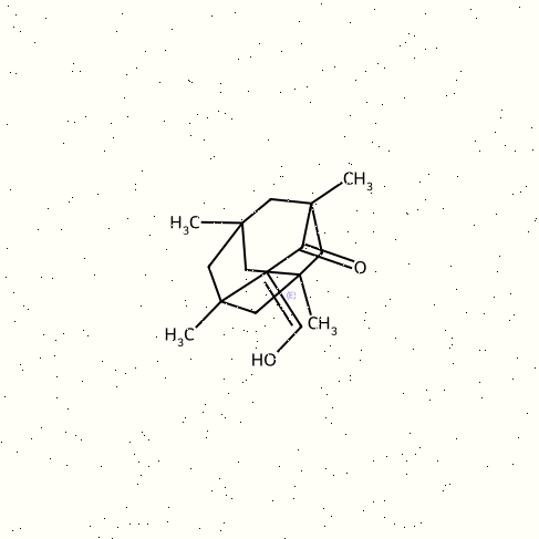 CC12CC3(C)CC(C)(C1)C(=O)/C(=C/O)C(C)(C2)C3